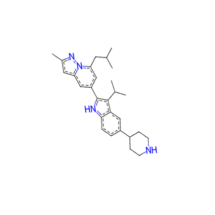 Cc1cc2cc(-c3[nH]c4ccc(C5CCNCC5)cc4c3C(C)C)cc(CC(C)C)n2n1